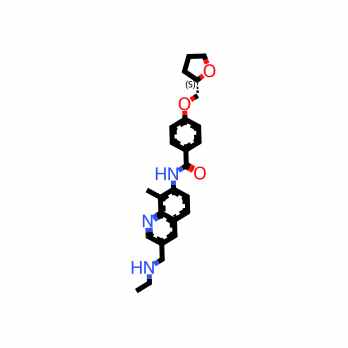 CCNCc1cnc2c(C)c(NC(=O)c3ccc(OC[C@@H]4CCCO4)cc3)ccc2c1